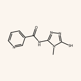 Cn1c(S)nnc1NC(=O)c1cccnc1